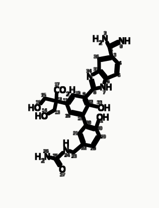 N=C(N)c1ccc2[nH]c(-c3cc(C(CO)(CO)C(=O)O)cc(-c4cc(CNC(N)=O)ccc4O)c3O)nc2c1